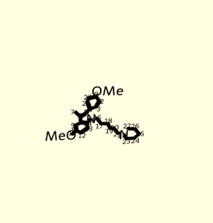 COc1ccc(-c2c(C)c3cc(OC)ccc3n2CCCCCCN2CCCCC2)cc1